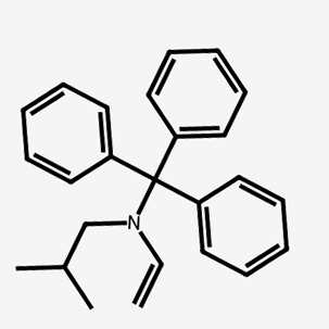 C=CN(CC(C)C)C(c1ccccc1)(c1ccccc1)c1ccccc1